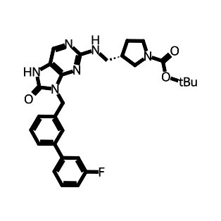 CC(C)(C)OC(=O)N1CC[C@@H](CNc2ncc3[nH]c(=O)n(Cc4cccc(-c5cccc(F)c5)c4)c3n2)C1